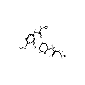 COc1ccc(NC(=O)CCl)cc1O[C@H]1CC[C@H](NC(=O)OC(C)(C)C)CC1